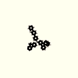 CC1(C)c2ccccc2-c2ccc(N(c3ccc(-c4ccc5c(c4)sc4ccccc45)cc3)c3ccc4c(c3)-c3ccccc3C43C4CC5CC(C4)CC3C5)cc21